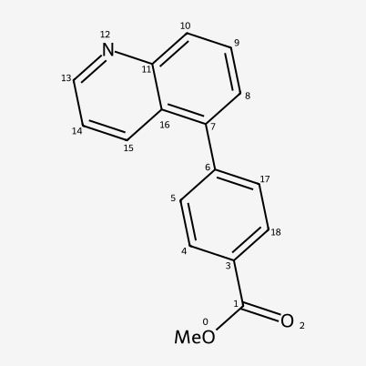 COC(=O)c1ccc(-c2cccc3ncccc23)cc1